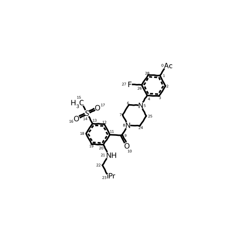 CC(=O)c1ccc(N2CCN(C(=O)c3cc(S(C)(=O)=O)ccc3NCC(C)C)CC2)c(F)c1